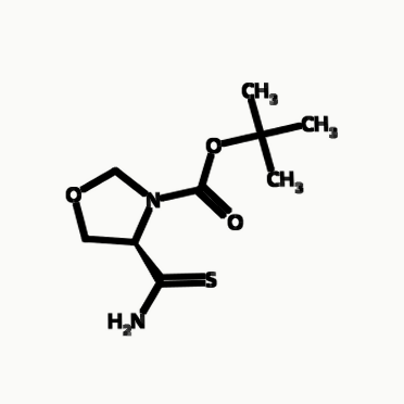 CC(C)(C)OC(=O)N1COC[C@@H]1C(N)=S